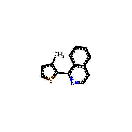 Cc1ccsc1-c1nccc2ccccc12